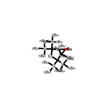 CCCC[Si](CCCC)(CCCC)[C]([Eu][C]([Si](CCCC)(CCCC)CCCC)([Si](CCCC)(CCCC)CCCC)[Si](CCCC)(CCCC)CCCC)([Si](CCCC)(CCCC)CCCC)[Si](CCCC)(CCCC)CCCC